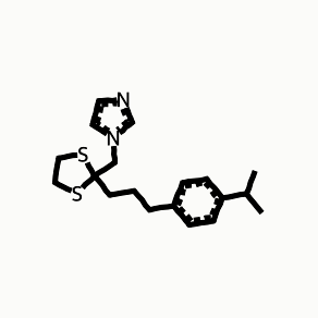 CC(C)c1ccc(CCCC2(Cn3ccnc3)SCCS2)cc1